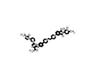 C=C1CCC(N2C(=O)c3ccc(N4CCC(CCN5CCC(c6ccc(Nc7nc(N8CCC[C@@H](N9CCN(C)C9=O)C8)cnc7C(N)=O)cc6)CC5)CC4)cc3C2=O)C(=O)N1